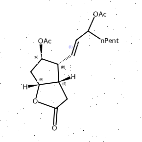 CCCCCC(/C=C/[C@@H]1[C@@H]2CC(=O)O[C@@H]2C[C@H]1OC(C)=O)OC(C)=O